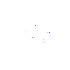 CS(=O)(=O)n1cnc2nccnc21